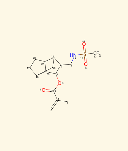 C=C(C)C(=O)OC1C(CNS(=O)(=O)C(F)(F)F)C2CC3CCC2C31